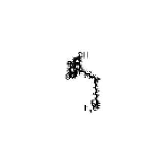 CN(CCCCCCCCC(F)(F)C(F)(F)F)CCCCCC[C@@H]1Cc2cc(O)ccc2[C@@H]2[C@@H]1[C@@H]1CCC(=O)[C@@]1(C)C[C@@H]2F